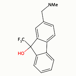 CNCc1ccc2c(c1)C(O)(C(F)(F)F)c1ccccc1-2